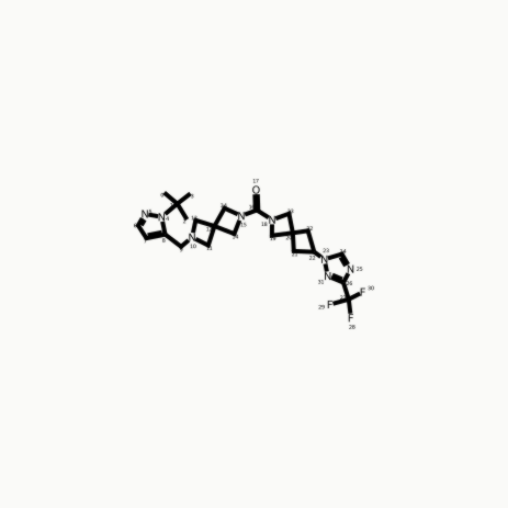 CC(C)(C)n1nccc1CN1CC2(C1)CN(C(=O)N1CC3(CC(n4cnc(C(F)(F)F)n4)C3)C1)C2